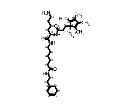 CC1=C(C)C(C)(CCC(=O)NC(CCCCN)C(=O)NCCCCCC(=O)NCCC2=CC=CCC2)C(C)=C1C